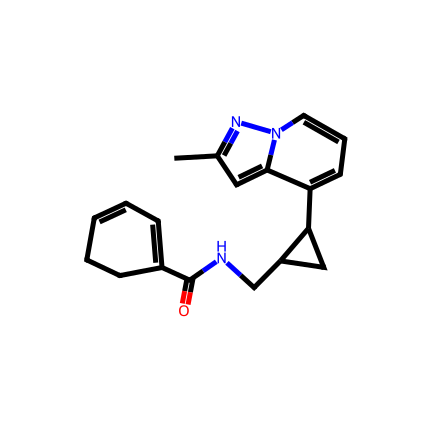 Cc1cc2c(C3CC3CNC(=O)C3=CC=CCC3)cccn2n1